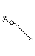 O=C(O)/C=C/c1ccc(CCOCCCCCCCCO)cc1